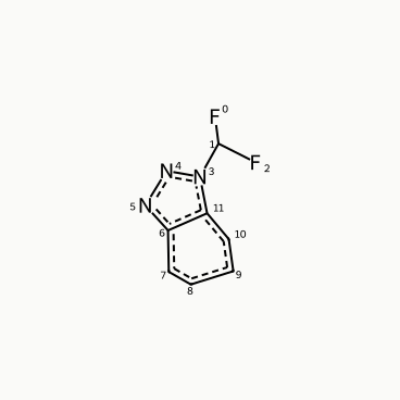 FC(F)n1nnc2ccccc21